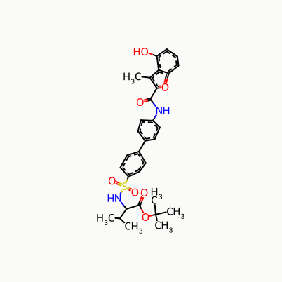 Cc1c(C(=O)Nc2ccc(-c3ccc(S(=O)(=O)NC(C(=O)OC(C)(C)C)C(C)C)cc3)cc2)oc2cccc(O)c12